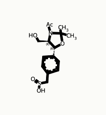 CC(=O)N1[C@H](CO)[C@@H](c2ccc(CS(=O)O)cc2)OC1(C)C